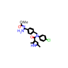 COC(=O)/N=C(\N)c1ccc(CN(C(=O)c2cc(C)[nH]c2C)c2ccc(Cl)cc2)cc1